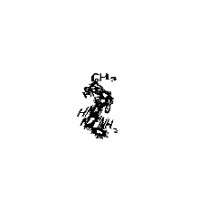 CCCS(=O)(=O)Nc1ccc(F)c(C(=O)c2n[nH]c3ncc(-c4ccccc4N)cc23)c1F